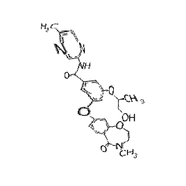 Cc1cnc(NC(=O)c2cc(Oc3ccc4c(c3)OCCN(C)C4=O)cc(O[C@@H](C)CO)c2)cn1